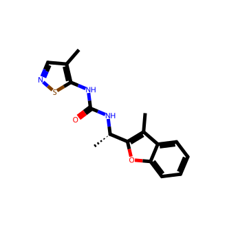 Cc1cnsc1NC(=O)N[C@@H](C)c1oc2ccccc2c1C